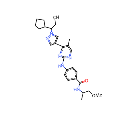 COCC(C)NC(=O)c1ccc(Nc2ncc(C)c(-c3cnn(C(CC#N)C4CCCC4)c3)n2)cc1